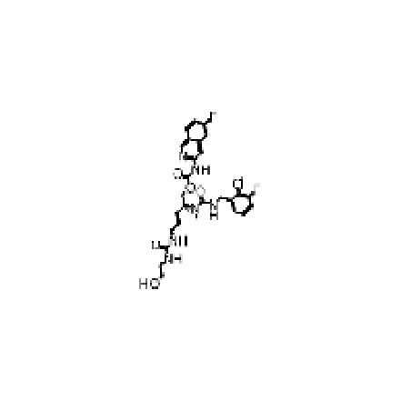 CN(C(=O)NCc1cccc(F)c1Cl)[C@@H](CCCNC(=O)NCCO)COC(=O)Nc1cc2cc(F)ccc2cn1